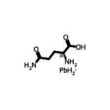 NC(=O)CC[C@H](N)C(=O)O.[PbH2]